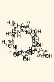 C[C@@H](O)C1NC(=O)C(N)C[C@@H](O)C(OCCN)NC(=O)C2[C@@H](O)[C@@H](C)CN2C(=O)C([C@@H](C)O)NC(=O)C([C@H](O)[C@@H](O)c2ccc(O)cc2)NC(=O)C2C[C@@H](O)CN2C1=O